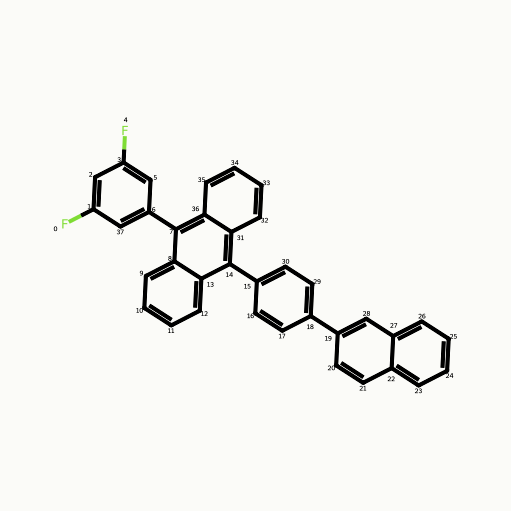 Fc1cc(F)cc(-c2c3ccccc3c(-c3ccc(-c4ccc5ccccc5c4)cc3)c3ccccc23)c1